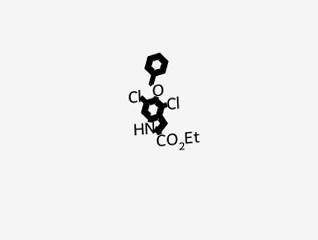 CCOC(=O)c1cc2c(Cl)c(OCc3ccccc3)c(Cl)cc2[nH]1